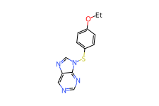 CCOc1ccc(Sn2cnc3cncnc32)cc1